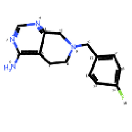 Nc1ncnc2c1CCN(Cc1ccc(F)cc1)C2